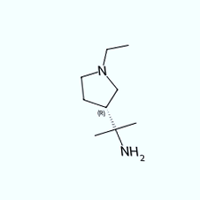 CCN1CC[C@@H](C(C)(C)N)C1